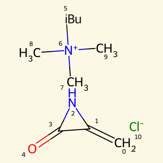 C=C1NC1=O.CCC(C)[N+](C)(C)C.[Cl-]